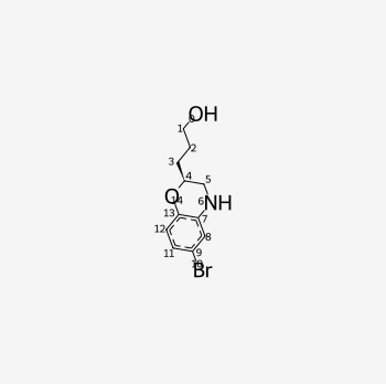 OCCC[C@H]1CNc2cc(Br)ccc2O1